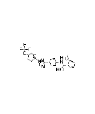 COc1ccccc1C(O)Nc1ccc(-c2ncn(-c3ccc(OC(F)(F)F)cc3)n2)cc1